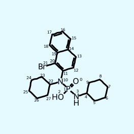 O=P(O)(NC1CCCCC1)N(c1ccc2ccccc2c1Br)C1CCCCC1